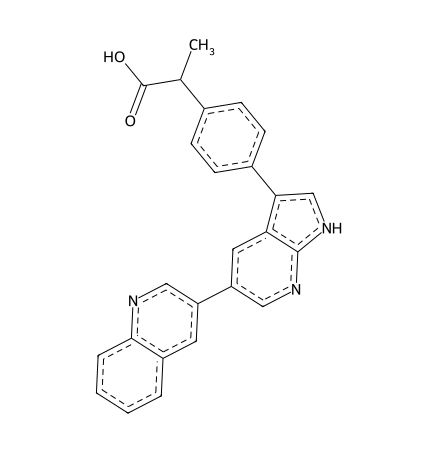 CC(C(=O)O)c1ccc(-c2c[nH]c3ncc(-c4cnc5ccccc5c4)cc23)cc1